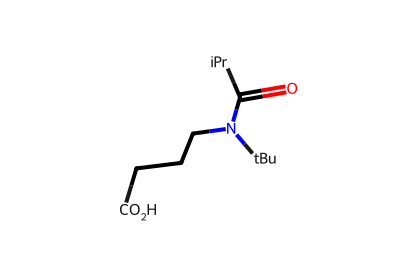 CC(C)C(=O)N(CCCC(=O)O)C(C)(C)C